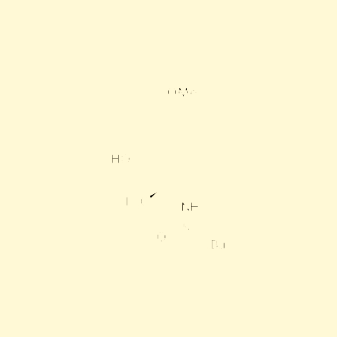 COc1ccc([C@H](C)N[S@@+]([O-])C(C)(C)C)c(O)c1